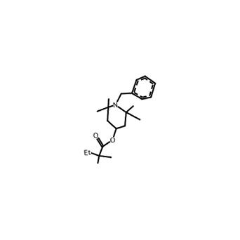 CCC(C)(C)C(=O)OC1CC(C)(C)N(Cc2ccccc2)C(C)(C)C1